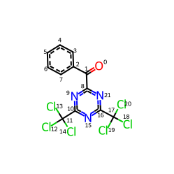 O=C(c1ccccc1)c1nc(C(Cl)(Cl)Cl)nc(C(Cl)(Cl)Cl)n1